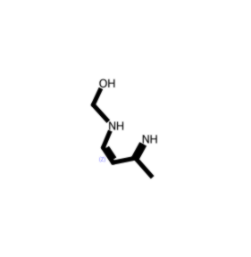 CC(=N)/C=C\NCO